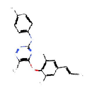 Cc1cc(/C=C/C#N)cc(C)c1Oc1nc(Nc2ccc(C#N)cc2)nnc1C